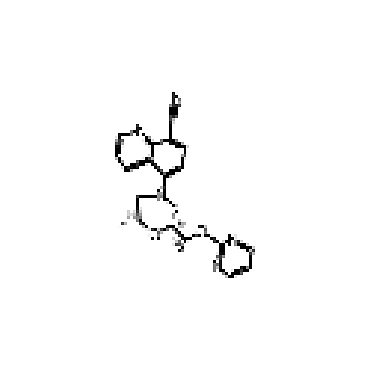 C[C@@H]1CN(c2ccc(C#N)c3ncccc23)C[C@H]([C@H](C)Oc2ncccn2)O1